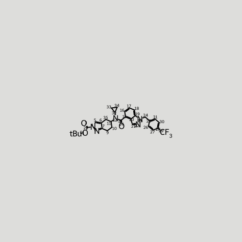 CC(C)(C)OC(=O)n1cc2c(n1)CCC(N(C(=O)c1cccc3c1cnn3Cc1ccc(C(F)(F)F)cc1)C1CC1)C2